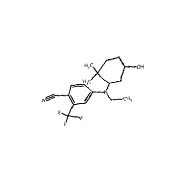 CCN(c1ccc(C#N)c(C(F)(F)F)c1)C1CC(O)CCC1(C)C